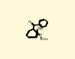 CCCCCCCCOC1(O)C=CC=CC1C(=O)c1ccccc1